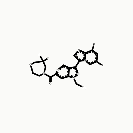 O=C(c1cc2c(cn1)c(-c1cnc3c(F)cc(F)cn13)nn2CC(F)(F)F)N1CCOCC(F)(F)C1